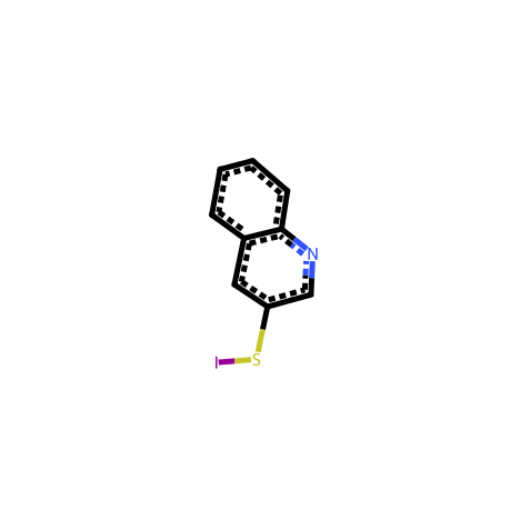 ISc1cnc2ccccc2c1